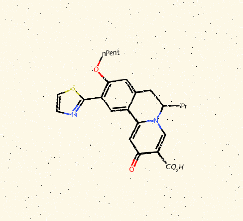 CCCCCOc1cc2c(cc1-c1nccs1)-c1cc(=O)c(C(=O)O)cn1C(C(C)C)C2